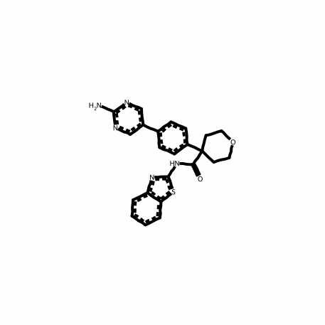 Nc1ncc(-c2ccc(C3(C(=O)Nc4nc5ccccc5s4)CCOCC3)cc2)cn1